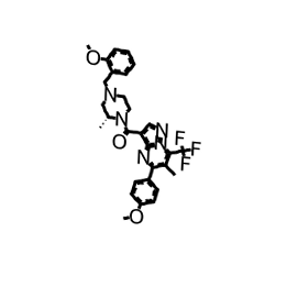 COc1ccc(-c2nc3c(C(=O)N4CCN(Cc5ccccc5OC)C[C@H]4C)cnn3c(C(F)(F)F)c2C)cc1